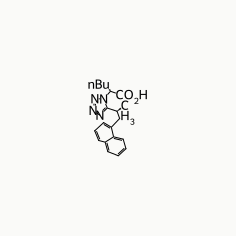 CCCC[C@@H](C(=O)O)n1nnnc1[C@@H](C)Cc1cccc2ccccc12